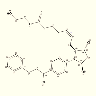 O=C(CCC/C=C\C[C@@H]1[C@@H](c2ccc(C(O)CCc3ccccc3)cc2)[C@H](O)C[C@H]1Cl)OCCO